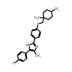 Cc1nc(-c2ccc(OCC3(C)CCC(C(F)(F)F)CC3)cc2)[nH]c1-c1ccc(Cl)cc1